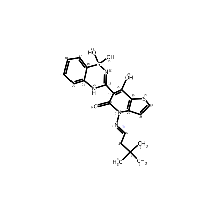 CC(C)(C)C/C=N/n1c(=O)c(C2=NS(O)(O)c3ccccc3N2)c(O)c2sccc21